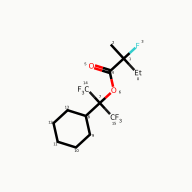 CCC(C)(F)C(=O)OC(C1CCCCC1)(C(F)(F)F)C(F)(F)F